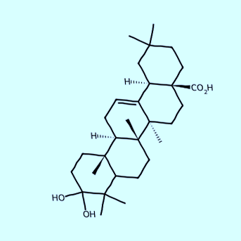 CC1(C)CC[C@]2(C(=O)O)CC[C@]3(C)C(=CC[C@@H]4[C@@]5(C)CCC(O)(O)C(C)(C)C5CC[C@]43C)[C@H]2C1